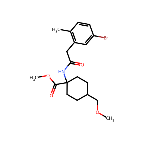 COCC1CCC(NC(=O)Cc2cc(Br)ccc2C)(C(=O)OC)CC1